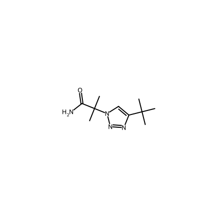 CC(C)(C)c1cn(C(C)(C)C(N)=O)nn1